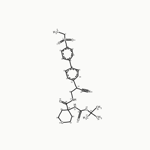 CCS(=O)(=O)c1ccc(-c2ccc(C(C#N)CNC(=O)C3(NC(=O)OC(C)(C)C)CCOCC3)cc2)cc1